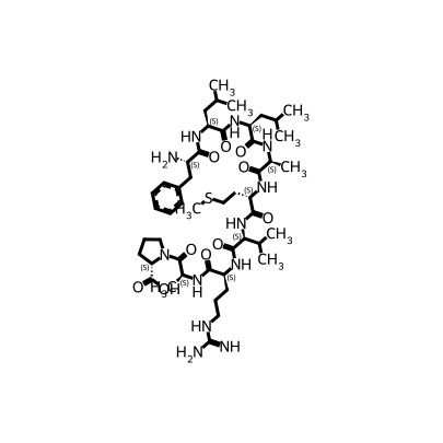 CSCC[C@H](NC(=O)[C@H](C)NC(=O)[C@H](CC(C)C)NC(=O)[C@H](CC(C)C)NC(=O)[C@@H](N)Cc1ccccc1)C(=O)N[C@H](C(=O)N[C@@H](CCCNC(=N)N)C(=O)N[C@@H](C)C(=O)N1CCC[C@H]1C(=O)O)C(C)C